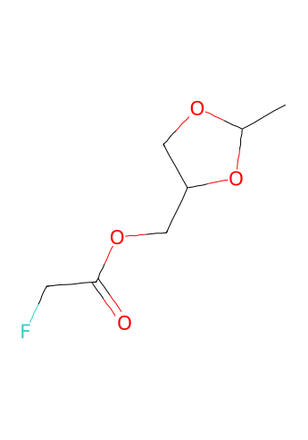 CC1OCC(COC(=O)CF)O1